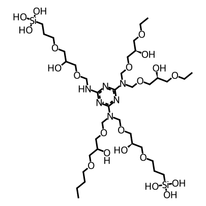 CCCCOCC(O)COCN(COC[C@H](O)COCCC[Si](O)(O)O)c1nc(NCOCC(O)COCCC[Si](O)(O)O)nc(N(COC[C@H](O)COCC)COC[C@@H](O)COCC)n1